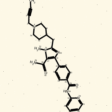 CC#CCN1CCC(Cc2nc(-c3ccc(C(=O)Nc4ccccn4)cc3)c(C(N)=O)n2N)CC1